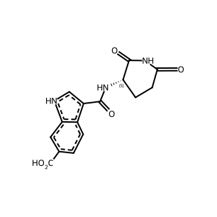 O=C1CC[C@H](NC(=O)c2c[nH]c3cc(C(=O)O)ccc23)C(=O)N1